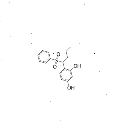 CCCC(c1ccc(O)cc1O)S(=O)(=O)c1ccccc1